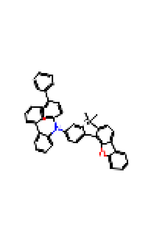 C[Si]1(C)c2cc(N(c3ccc(-c4ccccc4)cc3)c3ccccc3-c3ccccc3)ccc2-c2c1ccc1c2oc2ccccc21